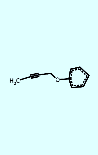 [CH2]C#CCOc1ccccc1